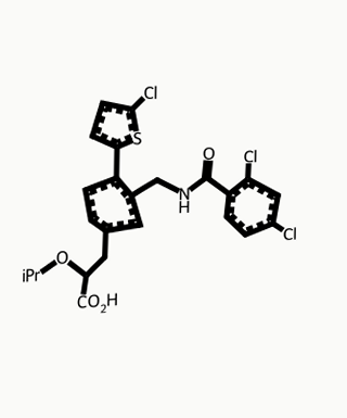 CC(C)OC(Cc1ccc(-c2ccc(Cl)s2)c(CNC(=O)c2ccc(Cl)cc2Cl)c1)C(=O)O